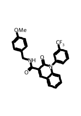 COc1ccc(CNC(=O)c2cc3ccccc3n(-c3cccc(C(F)(F)F)c3)c2=O)cc1